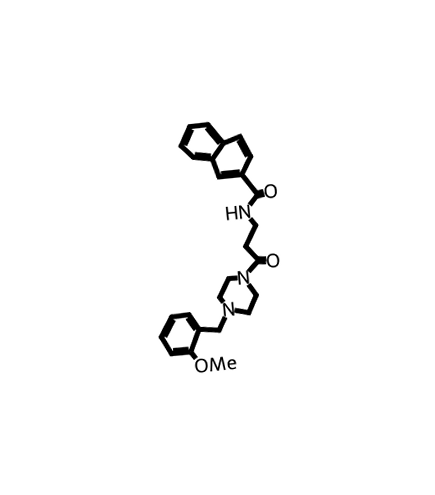 COc1ccccc1CN1CCN(C(=O)CCNC(=O)c2ccc3ccccc3c2)CC1